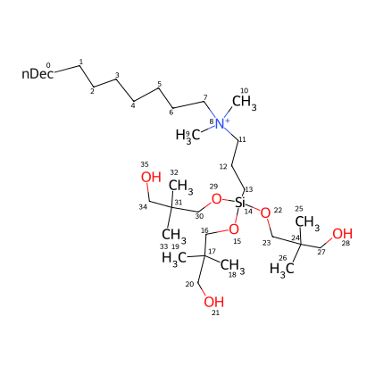 CCCCCCCCCCCCCCCCC[N+](C)(C)CCC[Si](OCC(C)(C)CO)(OCC(C)(C)CO)OCC(C)(C)CO